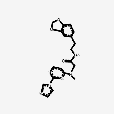 CN(CC(=O)NCCc1ccc2c(c1)OCO2)c1ccnc(-n2ccnc2)n1